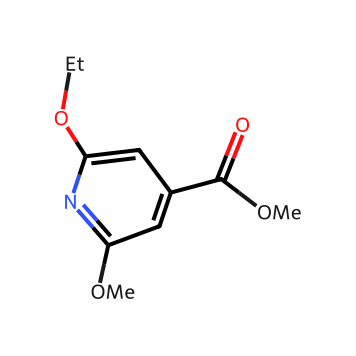 CCOc1cc(C(=O)OC)cc(OC)n1